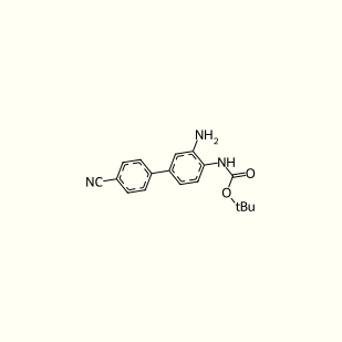 CC(C)(C)OC(=O)Nc1ccc(-c2ccc(C#N)cc2)cc1N